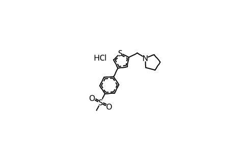 CS(=O)(=O)c1ccc(-c2csc(CN3CCCC3)c2)cc1.Cl